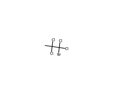 [CH2]C(Cl)(Cl)C(Cl)(Cl)Br